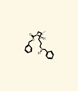 CCN(CCC[C@@]1(CC)[C@@H](C)CN1C(=O)OCc1ccccc1)Cc1ccccc1